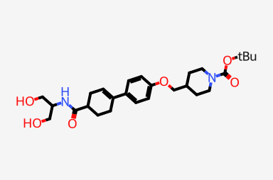 CC(C)(C)OC(=O)N1CCC(COc2ccc(C3=CCC(C(=O)NC(CO)CO)CC3)cc2)CC1